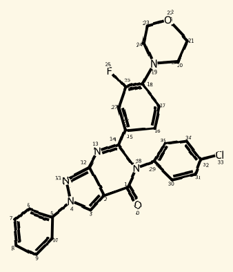 O=c1c2cn(-c3ccccc3)nc2nc(-c2ccc(N3CCOCC3)c(F)c2)n1-c1ccc(Cl)cc1